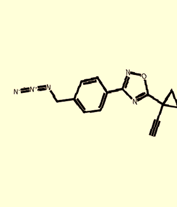 C#CC1(c2nc(-c3ccc(CN=[N+]=[N-])cc3)no2)CC1